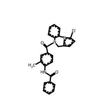 Cc1cc(C(=O)N2Cc3ccc(Cl)n3-c3ccccc32)ccc1NC(=O)c1ccccc1